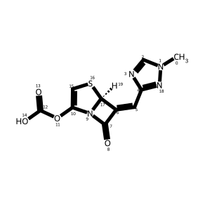 Cn1cnc(/C=C2/C(=O)N3C(OC(=O)O)=CS[C@@H]23)n1